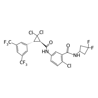 O=C(NC1CC(F)(F)C1)c1cc(NC(=O)[C@H]2[C@H](c3cc(C(F)(F)F)cc(C(F)(F)F)c3)C2(Cl)Cl)ccc1Cl